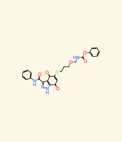 O=C(NCOCCCSC1=CC(=O)c2[nH]nc(C(=O)Nc3ccccc3)c2C1=O)Oc1ccccc1